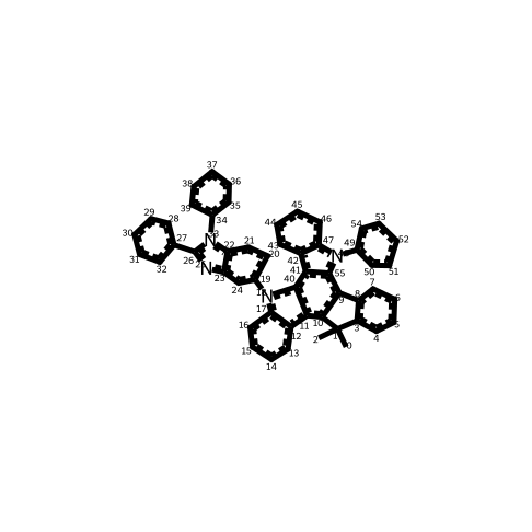 CC1(C)c2ccccc2-c2c1c1c3ccccc3n(-c3ccc4c(c3)nc(-c3ccccc3)n4-c3ccccc3)c1c1c3ccccc3n(-c3ccccc3)c21